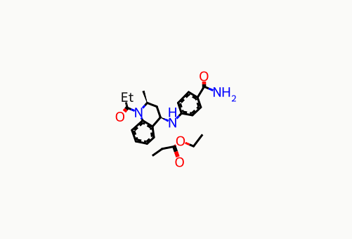 CCC(=O)N1c2ccccc2[C@H](Nc2ccc(C(N)=O)cc2)C[C@@H]1C.CCOC(=O)CC